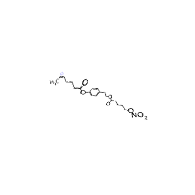 C/C=C\CCCC(=O)Oc1ccc(CCOC(=O)CCCCO[N+](=O)[O-])cc1